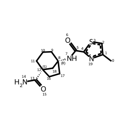 Cc1csc(C(=O)N[C@]23CCC[C@](C(N)=O)(CC2)C3)n1